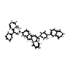 C1=CC2=C(c3ccccc3)N=C(c3ccc4c(c3)oc3c5ccccc5c(-c5ccc(-c6ccc7ccccc7c6)cc5)cc43)NC2C=C1